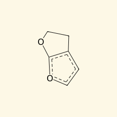 c1cc2c(o1)OCC2